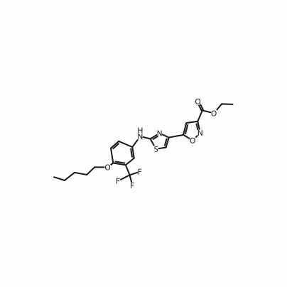 CCCCCOc1ccc(Nc2nc(-c3cc(C(=O)OCC)no3)cs2)cc1C(F)(F)F